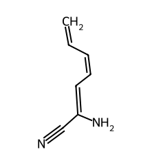 C=C/C=C\C=C(/N)C#N